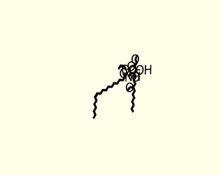 C/C=C\O[C@H]1OC(COC)[C@@H](O)C(OCCC(CCCCCCC)OC)C1NC(=O)CCCCCCCCC/C=C\CCCCCC